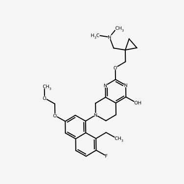 CCc1c(F)ccc2cc(OCOC)cc(N3CCc4c(O)nc(OCC5(CN(C)C)CC5)nc4C3)c12